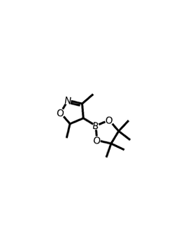 CC1=NOC(C)C1B1OC(C)(C)C(C)(C)O1